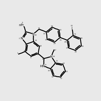 CCCc1nc2c(C)cc(C3Nc4ccccc4N3C)cc2n1Cc1ccc(-c2ccccc2I)cc1